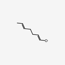 CC=CCCC=C[O]